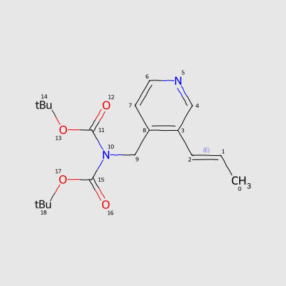 C/C=C/c1cnccc1CN(C(=O)OC(C)(C)C)C(=O)OC(C)(C)C